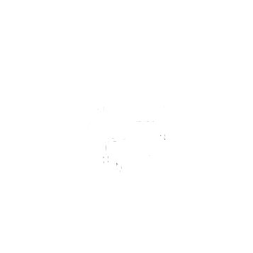 C=C(OCC)c1nn(C)c2cnc(Cl)cc12